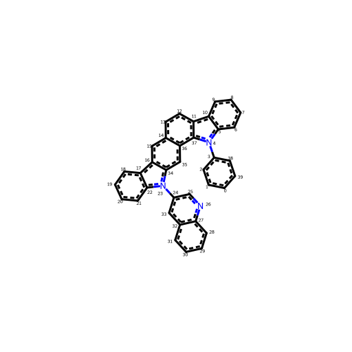 c1ccc(-n2c3ccccc3c3ccc4cc5c6ccccc6n(-c6cnc7ccccc7c6)c5cc4c32)cc1